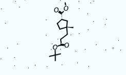 COC(=O)[C@H]1CC[C@@](C)(CCC(=O)OC(C)(C)C)C1